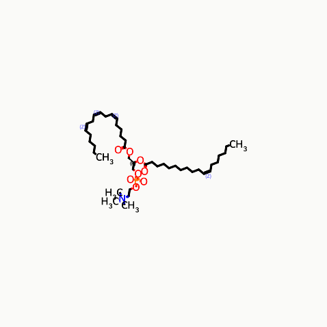 CCCCC/C=C\C/C=C\C/C=C\CCCCC(=O)OC[C@H](COP(=O)([O-])OCC[N+](C)(C)C)OC(=O)CCCCCCCCC/C=C\CCCCCC